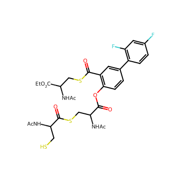 CCOC(=O)C(CSC(=O)c1cc(-c2ccc(F)cc2F)ccc1OC(=O)C(CSC(=O)C(CS)NC(C)=O)NC(C)=O)NC(C)=O